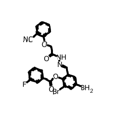 Bc1cc(Br)c(OC(=O)c2cccc(F)c2)c(/C=N/NC(=O)COc2ccccc2C#N)c1